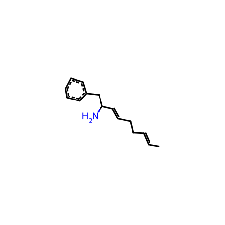 CC=CCCC=CC(N)Cc1ccccc1